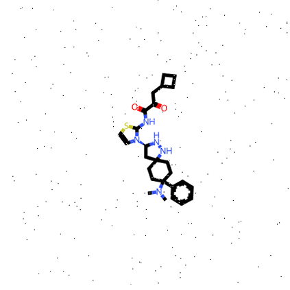 CN(C)C1(c2ccccc2)CCC2(CC1)C[C@@H](N1C=CSC1NC(=O)C(=O)CC1CCC1)NN2